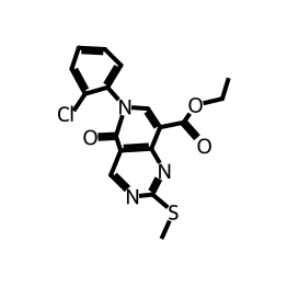 CCOC(=O)c1cn(-c2ccccc2Cl)c(=O)c2cnc(SC)nc12